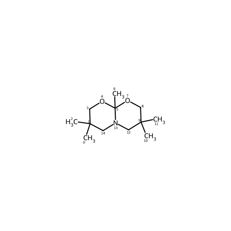 CC1(C)COC2(C)OCC(C)(C)CN2C1